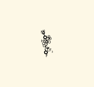 C[C@H](N(Cc1ccc(F)cc1)C(=O)CN1C(=O)NC2(CS(=O)(=O)c3cc(-c4cnn(C)c4)ccc32)C1=O)C(F)(F)F